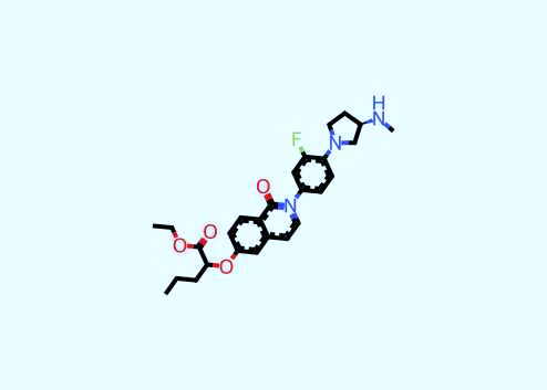 CCCC(Oc1ccc2c(=O)n(-c3ccc(N4CC[C@@H](NC)C4)c(F)c3)ccc2c1)C(=O)OCC